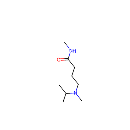 CNC(=O)CCCN(C)C(C)C